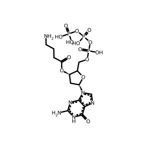 NCCCC(=O)O[C@@H]1C[C@H](n2cnc3c(=O)[nH]c(N)nc32)OC1COP(=O)(O)OP(=O)(O)OP(=O)(O)O